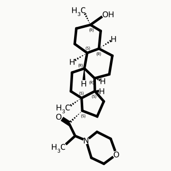 CC(C(=O)[C@H]1CC[C@H]2[C@@H]3CC[C@@H]4C[C@](C)(O)CC[C@@H]4[C@H]3CC[C@]12C)N1CCOCC1